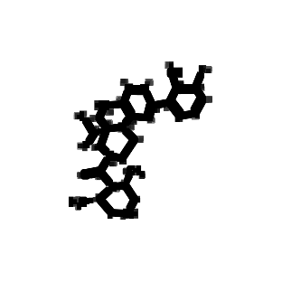 C[C@H]1CNC[C@H](C)N1C(=O)N1CCN2c3cc(-c4cccc(F)c4O)nnc3NC[C@]2(C(F)F)C1